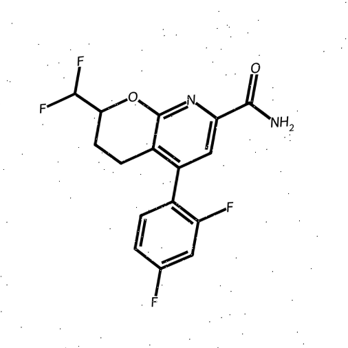 NC(=O)c1cc(-c2ccc(F)cc2F)c2c(n1)OC(C(F)F)CC2